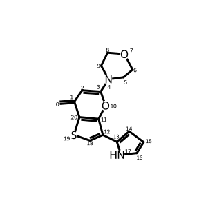 C=C1C=C(N2CCOCC2)Oc2c(-c3ccc[nH]3)csc21